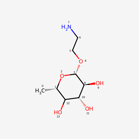 C[C@@H]1O[C@H](OCCN)[C@@H](O)[C@H](O)C1O